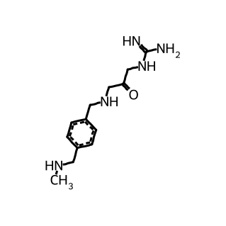 CNCc1ccc(CNCC(=O)CNC(=N)N)cc1